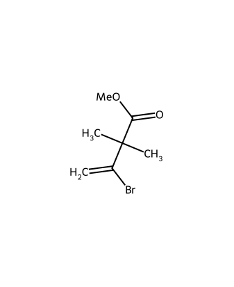 C=C(Br)C(C)(C)C(=O)OC